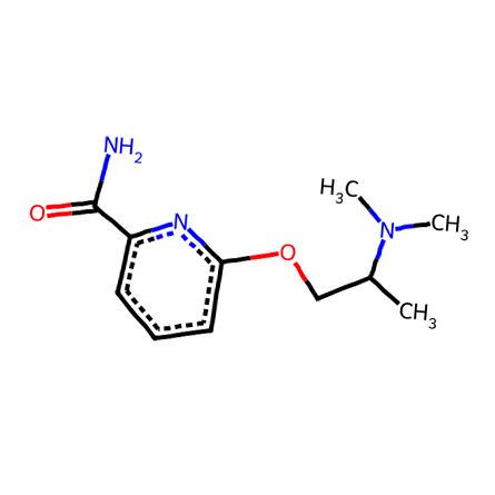 CC(COc1cccc(C(N)=O)n1)N(C)C